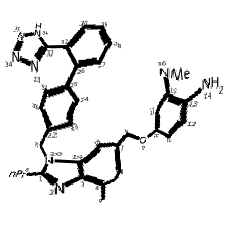 CCCc1nc2c(C)cc(COc3ccc(N)c(NC)c3)cc2n1Cc1ccc(-c2ccccc2-c2nnn[nH]2)cc1